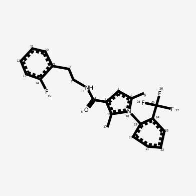 Cc1cc(C(=O)NCCc2ccccc2F)c(C)n1-c1ccccc1C(F)(F)F